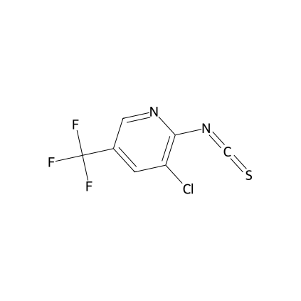 FC(F)(F)c1cnc(N=C=S)c(Cl)c1